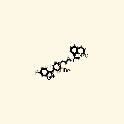 Br.O=C1CCc2cccc3c2N1CC3OCCCN1CCC(c2noc3cc(F)ccc23)CC1